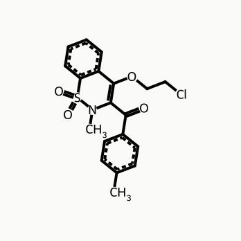 Cc1ccc(C(=O)C2=C(OCCCl)c3ccccc3S(=O)(=O)N2C)cc1